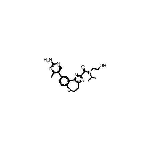 Cc1nc(N)ncc1-c1ccc2c(c1)-c1nc(C(=O)N(CCO)C(C)C)sc1CCO2